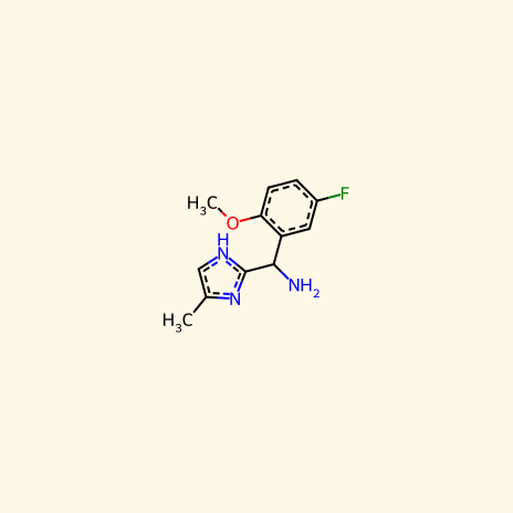 COc1ccc(F)cc1C(N)c1nc(C)c[nH]1